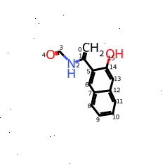 C=C(NC=O)c1cc2ccccc2cc1O